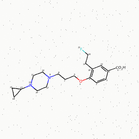 O=C(O)c1ccc(OCCCN2CCN(C3CC3)CC2)c(CCF)c1